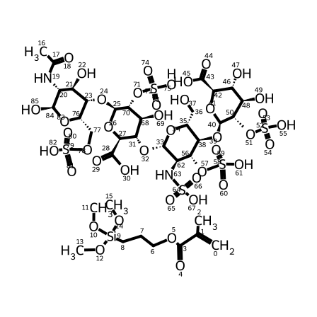 C=C(C)C(=O)OCCC[Si](OC)(OC)OC.CC(=O)N[C@@H]1[C@@H](O)[C@H](O[C@@H]2O[C@H](C(=O)O)[C@@H](O[C@@H]3O[C@H](CO)[C@@H](O[C@H]4O[C@@H](C(=O)O)[C@H](O)[C@@H](O)[C@@H]4OS(=O)(=O)O)[C@H](OS(=O)(=O)O)[C@H]3NS(=O)(=O)O)[C@H](O)[C@H]2OS(=O)(=O)O)[C@H](COS(=O)(=O)O)O[C@H]1O